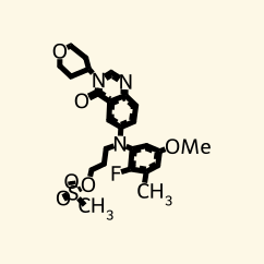 COc1cc(C)c(F)c(N(CCCOS(C)(=O)=O)c2ccc3ncn(C4CCOCC4)c(=O)c3c2)c1